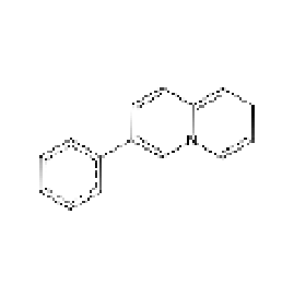 C1=CN2C=C(c3ccccc3)C=CC2=CC1